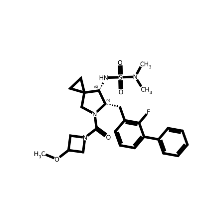 COC1CN(C(=O)N2CC3(CC3)[C@H](NS(=O)(=O)N(C)C)[C@@H]2Cc2cccc(-c3ccccc3)c2F)C1